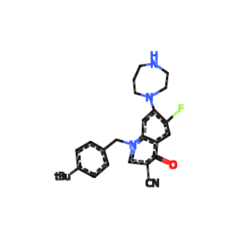 CC(C)(C)c1ccc(Cn2cc(C#N)c(=O)c3cc(F)c(N4CCCNCC4)cc32)cc1